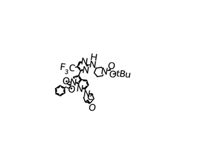 CC(C)(C)OC(=O)N1CCC[C@H](Nc2ncc(C(F)(F)F)c(-c3cn(S(=O)(=O)c4ccccc4)c4nc(N5CC6CCC5CC6=O)ccc34)n2)C1